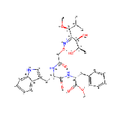 COC(=O)[C@@H](Cc1ccccc1)NC(=O)[C@H](Cc1c[nH]c2ccccc12)NC(=O)CO/N=C(/[C@@H](OC)C(C)C)[C@@H](O)[C@@H](C)O